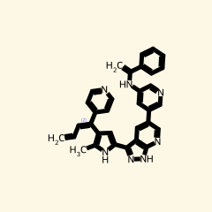 C=C/C=C(/c1ccncc1)c1cc(-c2n[nH]c3ncc(-c4cncc(NC(=C)c5ccccc5)c4)cc23)[nH]c1C